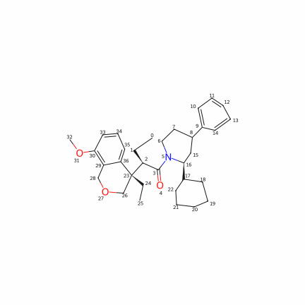 CC[C@@H](C(=O)N1CCC(c2ccccc2)C[C@H]1C1CCCCC1)[C@]1(CC)COCc2c(OC)cccc21